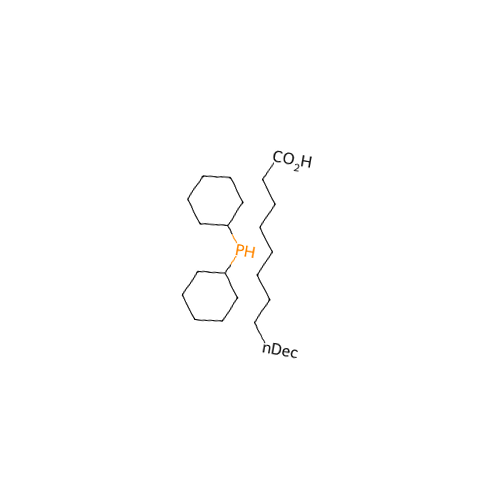 C1CCC(PC2CCCCC2)CC1.CCCCCCCCCCCCCCCCCC(=O)O